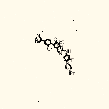 CCn1c(=O)c(-c2ccc(-c3cncnc3)cc2Cl)cc2cnc(Nc3ccc(N4CCN(C(C)C)CC4)c(F)c3)nc21